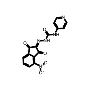 O=C(NN=c1c(=O)c2cccc([N+](=O)[O-])c2c1=O)Nc1ccncc1